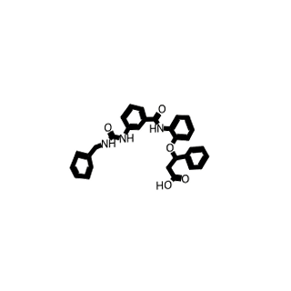 O=C(O)CC(Oc1ccccc1NC(=O)c1cccc(NC(=O)NCc2ccccc2)c1)c1ccccc1